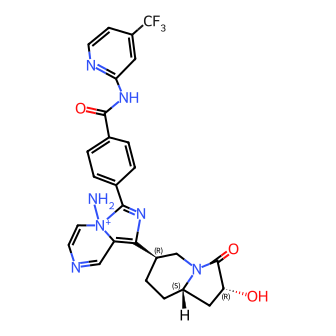 N[N+]12C=CN=CC1=C([C@@H]1CC[C@H]3C[C@@H](O)C(=O)N3C1)N=C2c1ccc(C(=O)Nc2cc(C(F)(F)F)ccn2)cc1